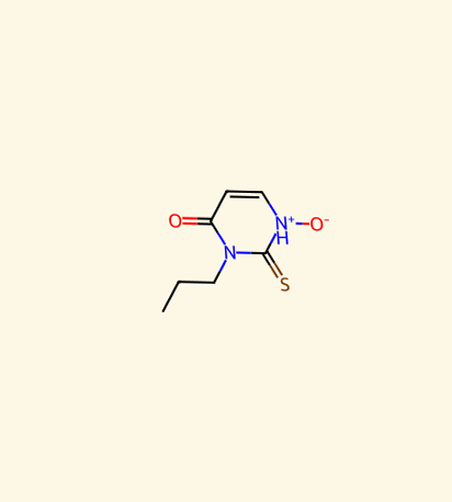 CCCN1C(=O)C=C[NH+]([O-])C1=S